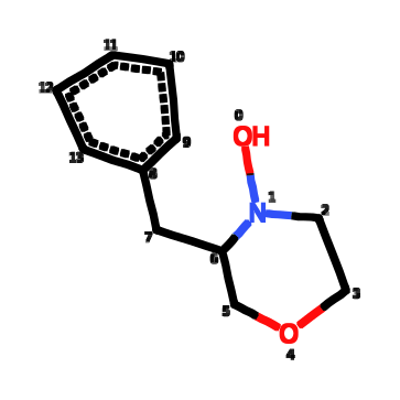 ON1CCOCC1Cc1ccccc1